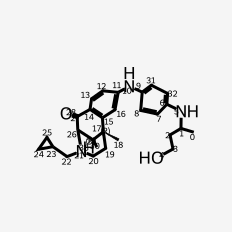 CC(CCO)Nc1ccc(Nc2ccc3c(c2)[C@]2(C)CCN(CC4CC4)C(C3=O)[C@@H]2C)cc1